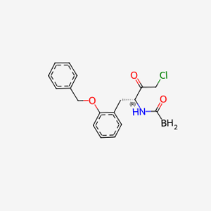 BC(=O)N[C@H](Cc1ccccc1OCc1ccccc1)C(=O)CCl